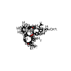 CCCCCCCCNC(=O)Oc1cc(O)c2c(c1)[C@@H](C(=O)CC1CC1)NC(=O)[C@H]1NC(=O)[C@H](CC(=O)[C@@H]3NC(=O)[C@H](CC(N)=O)CC(=O)[C@H](NC(=O)[C@H](CC)CC(C)C)[C@H](O)c4ccc(c(Cl)c4)Oc4cc3cc(c4O[C@@H]3O[C@H](CO)[C@@H](O)[C@H](O)[C@H]3O)Oc3ccc(cc3Cl)[C@H]1O)c1ccc(O)c-2c1